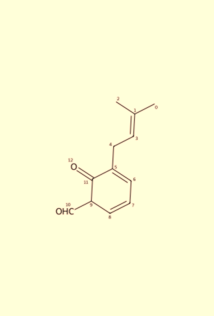 CC(C)=CCC1=CC=CC(C=O)C1=O